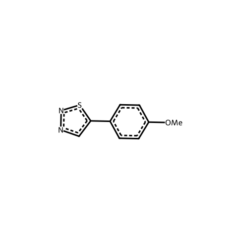 COc1ccc(-c2cnns2)cc1